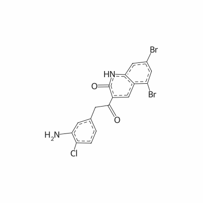 Nc1cc(CC(=O)c2cc3c(Br)cc(Br)cc3[nH]c2=O)ccc1Cl